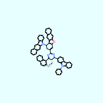 CC[C@@H]1C(c2cccc3ccccc23)=NC(C2=Cc3oc4cc5ccccc5cc4c3C(n3c4ccccc4c4cc5ccccc5cc43)C2)=NC1c1ccc2c3ccccc3n(-c3ccccc3)c2c1